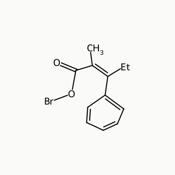 CCC(=C(C)C(=O)OBr)c1ccccc1